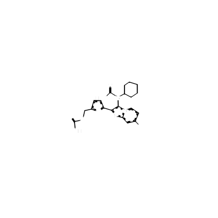 CC(=O)OCc1ccc(-c2nc3cc(C)ccn3c2N(C(C)=O)C2CCCCC2)o1